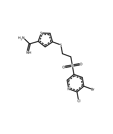 N=C(N)c1cc(SCCS(=O)(=O)c2cnc(Cl)c(Br)c2)cs1